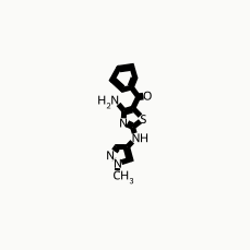 Cn1cc(Nc2nc(N)c(C(=O)c3ccccc3)s2)cn1